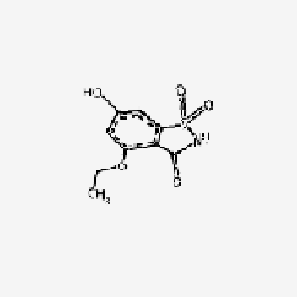 CCOc1cc(O)cc2c1C(=O)NS2(=O)=O